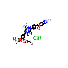 COc1ccc(C2CC(C(F)F)n3nc(-c4ccc(CC(=O)N5CC6CNCC6C5)cc4)cc3N2)cc1OC.Cl